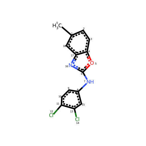 Cc1ccc2oc(Nc3ccc(Cl)c(Cl)c3)nc2c1